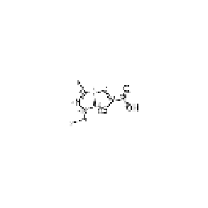 CCn1nc(C)c2cc(C(=O)O)sc21